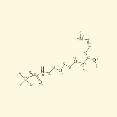 CN/C=C\CC(OC)[C@H](C)OCCOCCNC(=O)OC(C)(C)C